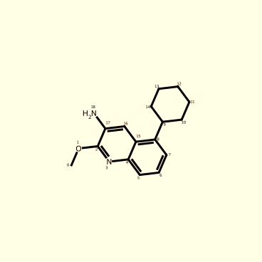 COc1nc2cccc(C3CCCCC3)c2cc1N